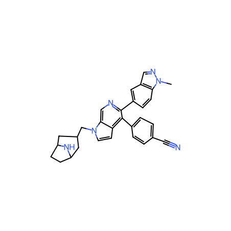 Cn1ncc2cc(-c3ncc4c(ccn4CC4CC5CCC(C4)N5)c3-c3ccc(C#N)cc3)ccc21